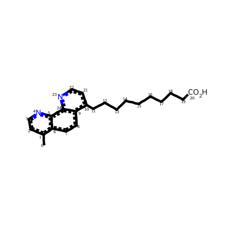 Cc1ccnc2c1ccc1c(CCCCCCCCCC(=O)O)ccnc12